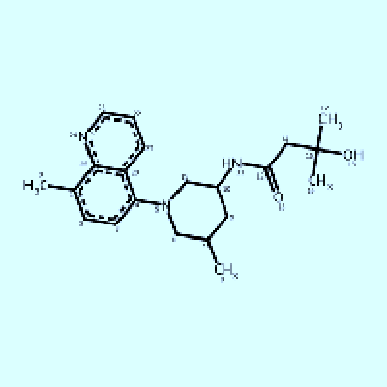 Cc1ccc(N2CC(C)CC(NC(=O)CC(C)(C)O)C2)c2cccnc12